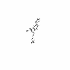 CC(C)Oc1nn(COCC[Si](C)(C)C)c2ccc(C3OCCO3)cc12